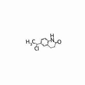 CC(Cl)c1ccc2c(c1)CCC(=O)N2